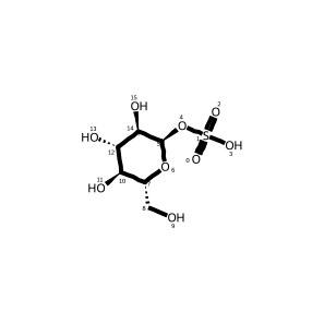 O=S(=O)(O)O[C@H]1O[C@H](CO)[C@@H](O)[C@H](O)[C@H]1O